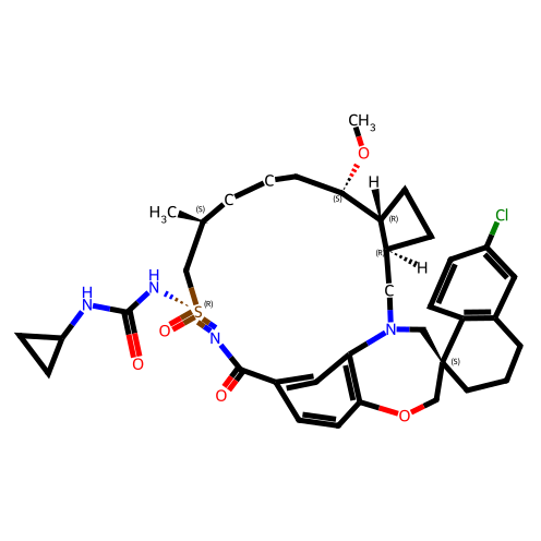 CO[C@H]1CCC[C@H](C)C[S@@](=O)(NC(=O)NC2CC2)=NC(=O)c2ccc3c(c2)N(C[C@@H]2CC[C@H]21)C[C@@]1(CCCc2cc(Cl)ccc21)CO3